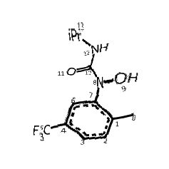 Cc1ccc(C(F)(F)F)cc1N(O)C(=O)NC(C)C